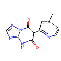 Cc1ccnc(C2C(=O)Nc3ncnn3C2=O)c1